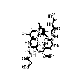 CC[C@@H](Cn1nc(C)cc1C)C(=O)N[C@@H](CNC(=O)OC(C)(C)C)C(=O)N[C@@H](CC(C)C)[C@@H](O)C[C@@H](C)C(=O)N[C@H](C(=O)NCC(C)C)C(C)C